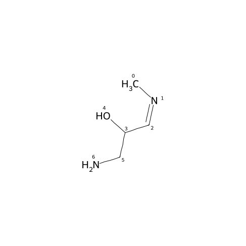 C/N=C\C(O)CN